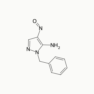 Nc1c(N=O)cnn1Cc1ccccc1